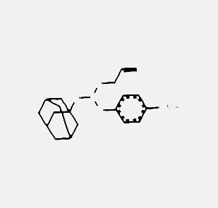 C=CCOB(Oc1ccc(OC)cc1)OC12CC3CC(CC(C3)C1)C2